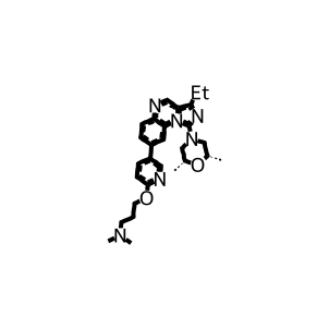 CCc1nc(N2C[C@@H](C)O[C@@H](C)C2)n2c1cnc1ccc(-c3ccc(OCCCN(C)C)nc3)cc12